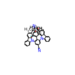 CC(C)(C)c1ccc2c3ccccc3n(-c3cc(C#N)cc(-n4c5ccccc5c5ccc(C(C)(C)C)cc54)c3-c3ccc(C#N)cc3F)c2c1